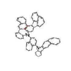 C1=Cc2c(c3cc4ccccc4cc3n2-c2ccc(N(c3ccc4c(c3)-c3cccc5cccc-4c35)c3ccccc3-c3ccc4ccccc4c3)c3ccccc23)CC1